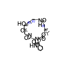 CC1=C\[C@@H](O)CC(=O)Cc2nc(co2)C(=O)N[C@H](Cc2c[nH]c3ccccc23)C(=O)OC(C(C)C)[C@H](C)/C=C/C(=O)NC\C=C\1